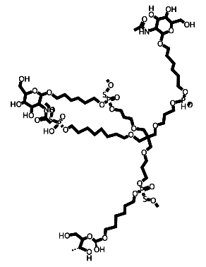 COSP(=O)(O)OCCCCCCCCOCC(COCCCO[PH](=O)OCCCCCCOC1OC(CO)C(O)C(O)C1NC(C)=O)(COCCCOP(=O)(OCCCCCCOC1OC(CO)C(O)C(O)C1NC(C)=O)SOC)COCCCOP(=O)(OCCCCCCO[C@@H](O)OC(CO)[C@@H](C)O)SOC